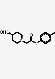 Cc1ccc(NC(=O)CN2CCC(C=O)CC2)cc1